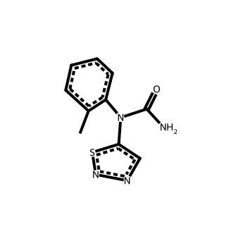 Cc1ccccc1N(C(N)=O)c1cnns1